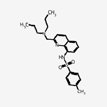 CCCN(CCC)Cc1ccc2cccc(NS(=O)(=O)c3ccc(C)cc3)c2n1